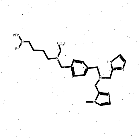 CCCN(CC)CCCCN(CC(=O)O)Cc1ccc(CN(Cc2ncc[nH]2)Cc2nccn2C)cc1